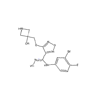 O/N=C(\Nc1ccc(F)c(Br)c1)c1nonc1OCC1(O)CNC1